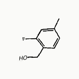 Cc1ccc(CO)c(F)c1